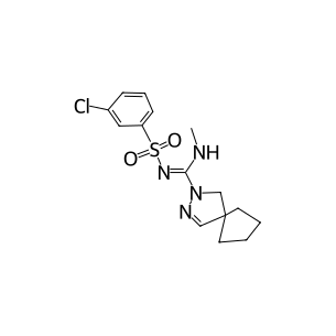 CN/C(=N\S(=O)(=O)c1cccc(Cl)c1)N1CC2(C=N1)CCCC2